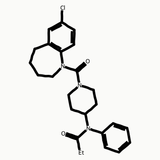 CCC(=O)N(c1ccccc1)C1CCN(C(=O)N2CCCCc3cc(Cl)ccc32)CC1